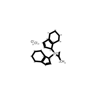 C[CH]1[CH2][Zr+2]1([CH]1C=CC2=C1CCCC2)[CH]1C=CC2=C1CCCC2.[Cl-].[Cl-]